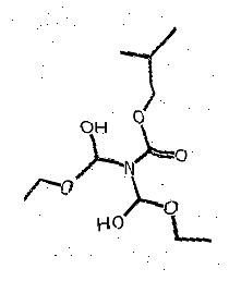 CCOC(O)N(C(=O)OCC(C)C)C(O)OCC